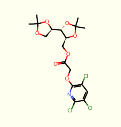 CC1(C)O[C@@H]([C@H]2COC(C)(C)O2)[C@H](COC(=O)COc2nc(Cl)c(Cl)cc2Cl)O1